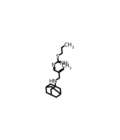 C/C=C(\C=N/C(=N)SCCC)CNC12CC3CC(CC(C3)C1)C2